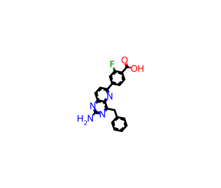 Nc1nc(Cc2ccccc2)c2nc(-c3ccc(C(=O)O)c(F)c3)ccc2n1